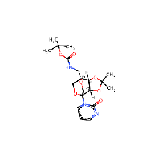 CC(C)(C)OC(=O)NC[C@@]12COC(n3cccnc3=O)(CO1)[C@H]1OC(C)(C)O[C@H]12